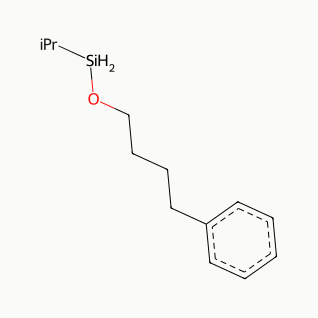 CC(C)[SiH2]OCCCCc1ccccc1